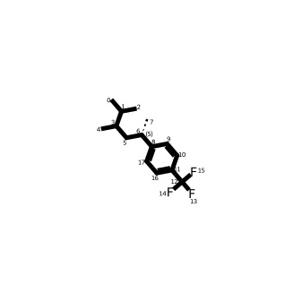 CC(C)C(C)C[C@H](C)c1ccc(C(F)(F)F)cc1